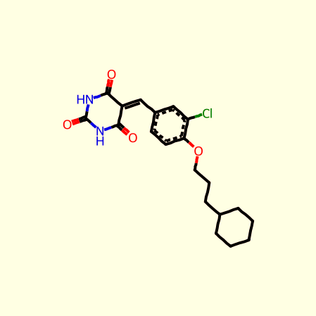 O=C1NC(=O)C(=Cc2ccc(OCCCC3CCCCC3)c(Cl)c2)C(=O)N1